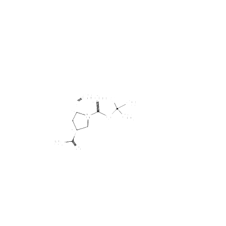 C=C[C@H]1C[C@H](C(=O)O)CN1C(=O)OC(C)(C)C